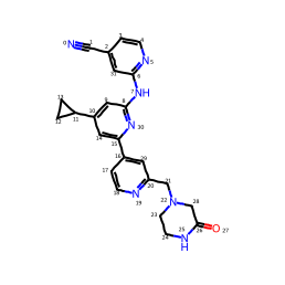 N#Cc1ccnc(Nc2cc(C3CC3)cc(-c3ccnc(CN4CCNC(=O)C4)c3)n2)c1